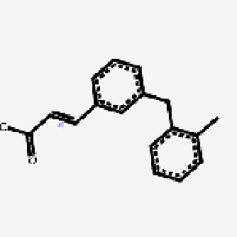 Cc1ccccc1Cc1cccc(/C=C/C(=O)O)c1